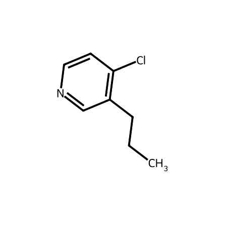 CCCc1cnccc1Cl